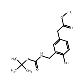 COC(=O)Cc1ccc(O)c(CNC(=O)OC(C)(C)C)c1